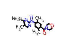 CNc1nc(Nc2cc(C)c(C(=O)N3CCOCC3)cc2C)ncc1C(F)(F)F